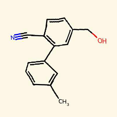 Cc1cccc(-c2cc(CO)ccc2C#N)c1